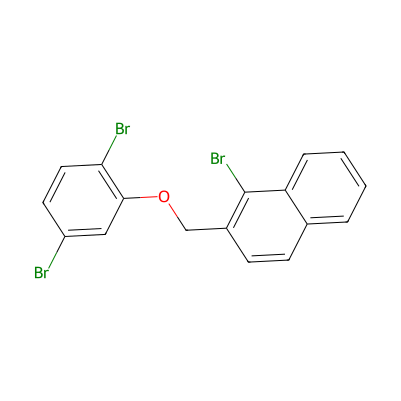 Brc1ccc(Br)c(OCc2ccc3ccccc3c2Br)c1